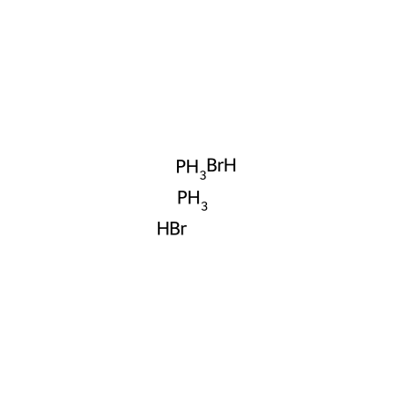 Br.Br.P.P